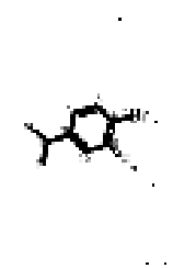 [CH2]C(C)c1ccc(Br)c(F)c1